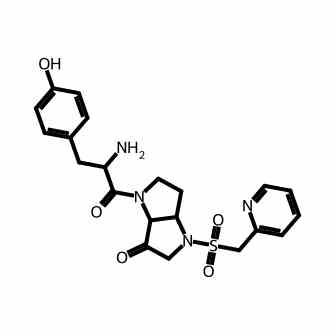 NC(Cc1ccc(O)cc1)C(=O)N1CCC2C1C(=O)CN2S(=O)(=O)Cc1ccccn1